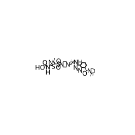 Cc1nc(NC(=O)O)sc1S(=O)(=O)N1CCN(C[C@H](C)Nc2ncnc3c(C(=O)N4CCC[C@@H]4C)cccc23)CC1